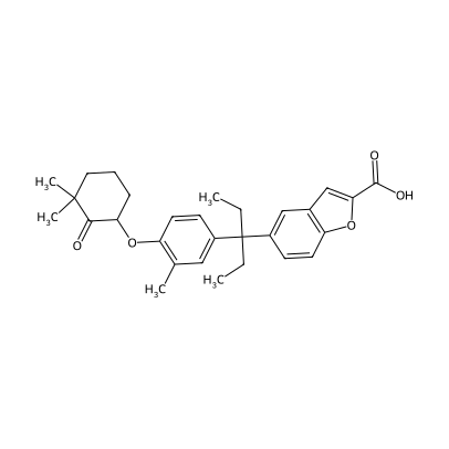 CCC(CC)(c1ccc(OC2CCCC(C)(C)C2=O)c(C)c1)c1ccc2oc(C(=O)O)cc2c1